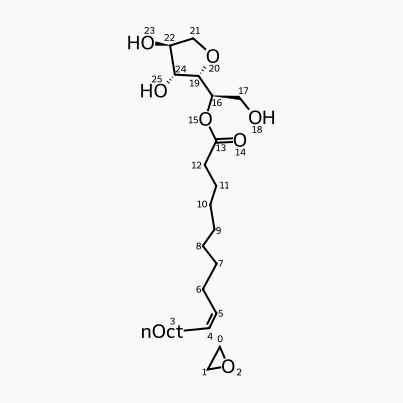 C1CO1.CCCCCCCC/C=C\CCCCCCCC(=O)O[C@H](CO)[C@H]1OC[C@H](O)[C@H]1O